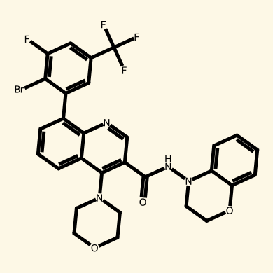 O=C(NN1CCOc2ccccc21)c1cnc2c(-c3cc(C(F)(F)F)cc(F)c3Br)cccc2c1N1CCOCC1